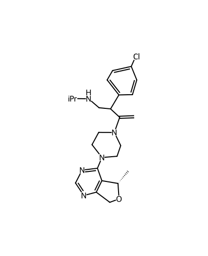 C=C(C(CNC(C)C)c1ccc(Cl)cc1)N1CCN(c2ncnc3c2[C@H](C)OC3)CC1